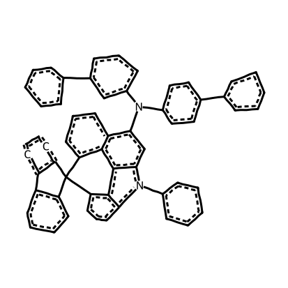 c1ccc(-c2ccc(N(c3cccc(-c4ccccc4)c3)c3cc4c5c6c(cccc36)C3(c6ccccc6-c6ccccc63)c3cccc(c35)n4-c3ccccc3)cc2)cc1